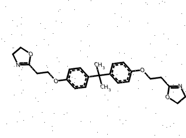 CC(C)(c1ccc(OCCC2=NCCO2)cc1)c1ccc(OCCC2=NCCO2)cc1